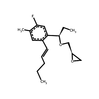 CCC/C=C/c1cc(C)c(F)cc1[C@@H](CC)OC[C@H]1CO1